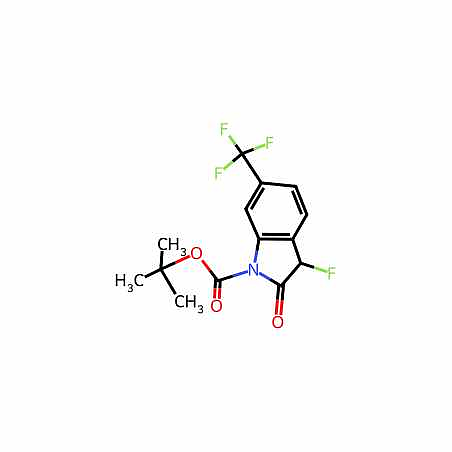 CC(C)(C)OC(=O)N1C(=O)C(F)c2ccc(C(F)(F)F)cc21